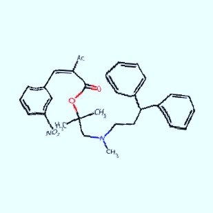 CC(=O)C(=Cc1cccc([N+](=O)[O-])c1)C(=O)OC(C)(C)CN(C)CCC(c1ccccc1)c1ccccc1